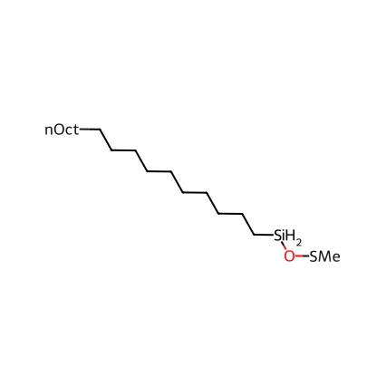 CCCCCCCCCCCCCCCCCC[SiH2]OSC